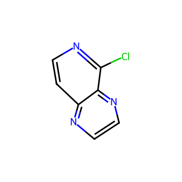 Clc1nccc2nccnc12